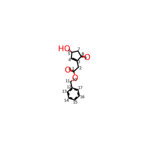 O=C(CC1=CC(O)CC1=O)OCc1ccccc1